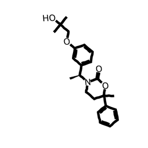 C[C@@H](c1cccc(OCC(C)(C)O)c1)N1CCC(C)(c2ccccc2)OC1=O